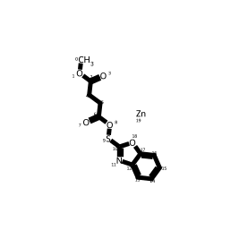 COC(=O)CCC(=O)OSc1nc2ccccc2o1.[Zn]